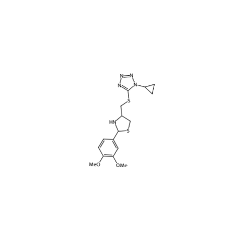 COc1ccc(C2NC(CSc3nnnn3C3CC3)CS2)cc1OC